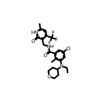 CCN(c1cc(Cl)cc(C(=O)NCc2c(C(F)(F)F)cc(C)[nH]c2=O)c1C)C1CCOCC1